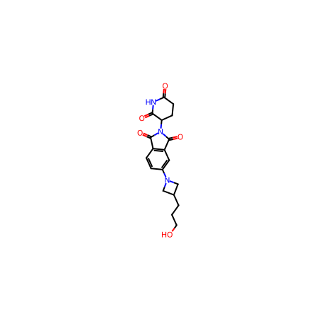 O=C1CCC(N2C(=O)c3ccc(N4CC(CCCO)C4)cc3C2=O)C(=O)N1